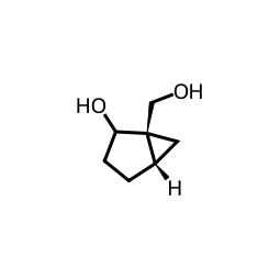 OC[C@@]12C[C@@H]1CCC2O